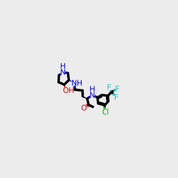 CC(=O)[C@@H](CCCN[C@H]1CNCC[C@@H]1O)Nc1cc(Cl)cc(C(F)(F)F)c1